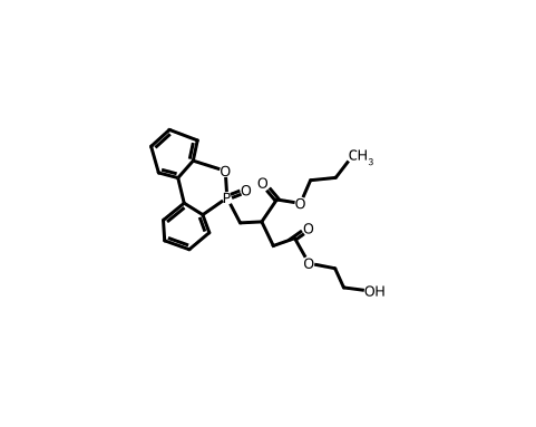 CCCOC(=O)C(CC(=O)OCCO)CP1(=O)Oc2ccccc2-c2ccccc21